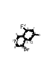 Cc1cc(F)c2cncc(Br)c2c1